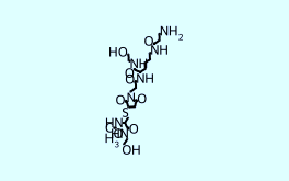 CC(=O)NC(CSC1CC(=O)N(CCC(=O)NC(CCCCNC(=O)CCN)C(=O)NCCO)C1=O)C(=O)NCCO